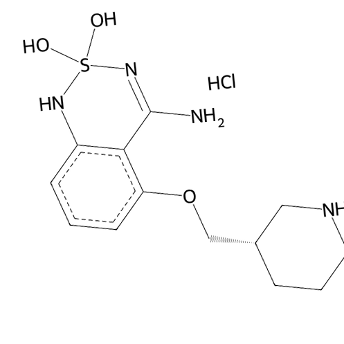 Cl.NC1=NS(O)(O)Nc2cccc(OC[C@H]3CCCNC3)c21